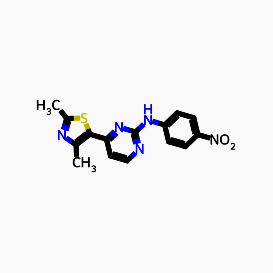 Cc1nc(C)c(-c2ccnc(Nc3ccc([N+](=O)[O-])cc3)n2)s1